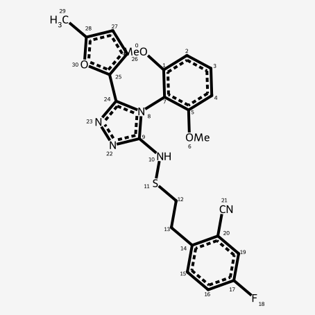 COc1cccc(OC)c1-n1c(NSCCc2ccc(F)cc2C#N)nnc1-c1ccc(C)o1